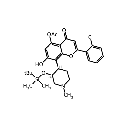 CC(=O)Oc1cc(O)c([C@H]2CCN(C)C[C@H]2O[Si](C)(C)C(C)(C)C)c2oc(-c3ccccc3Cl)cc(=O)c12